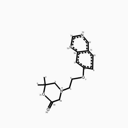 CC1(C)CN(CCOc2ccc3cncnc3c2)CC(=O)O1